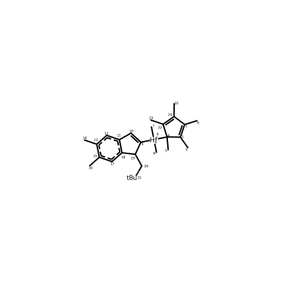 CC1=C(C)[C](C)([Hf]([CH3])([CH3])[C]2=Cc3cc(C)c(C)cc3C2CC(C)(C)C)C(C)=C1C